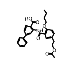 CCCCOc1ccc(CCOC(C)=O)cc1C(=O)Nc1cc(-c2ccccc2)ccc1C(=O)O